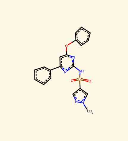 Cn1cc(S(=O)(=O)Nc2nc(Oc3ccccc3)cc(-c3ccccc3)n2)cn1